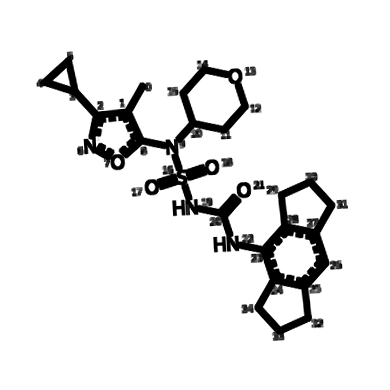 Cc1c(C2CC2)noc1N(C1CCOCC1)S(=O)(=O)NC(=O)Nc1c2c(cc3c1CCC3)CCC2